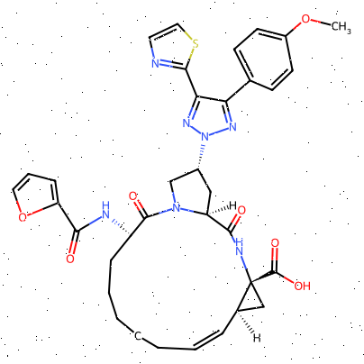 COc1ccc(-c2nn([C@@H]3C[C@H]4C(=O)N[C@]5(C(=O)O)C[C@H]5/C=C\CCCCC[C@H](NC(=O)c5ccco5)C(=O)N4C3)nc2-c2nccs2)cc1